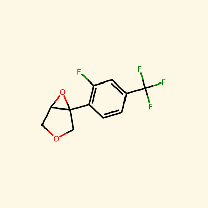 Fc1cc(C(F)(F)F)ccc1C12COCC1O2